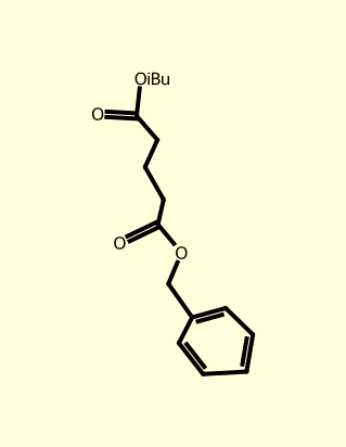 CC(C)COC(=O)CCCC(=O)OCc1ccccc1